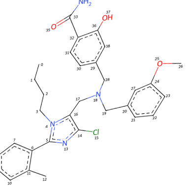 CCCCn1c(-c2ccccc2C)nc(Cl)c1CN(Cc1cccc(OC)c1)Cc1ccc(C(N)=O)c(O)c1